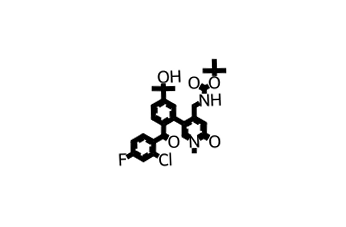 Cn1cc(-c2cc(C(C)(C)O)ccc2C(=O)c2ccc(F)cc2Cl)c(CNC(=O)OC(C)(C)C)cc1=O